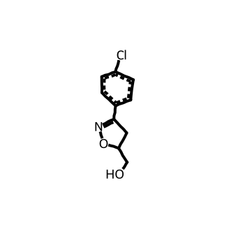 OCC1CC(c2ccc(Cl)cc2)=NO1